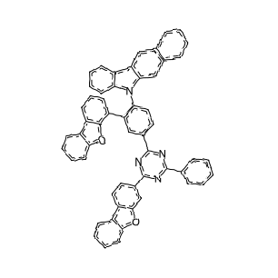 c1ccc(-c2nc(-c3ccc(-n4c5ccccc5c5cc6ccccc6cc54)c(-c4cccc5c4oc4ccccc45)c3)nc(-c3ccc4c(c3)oc3ccccc34)n2)cc1